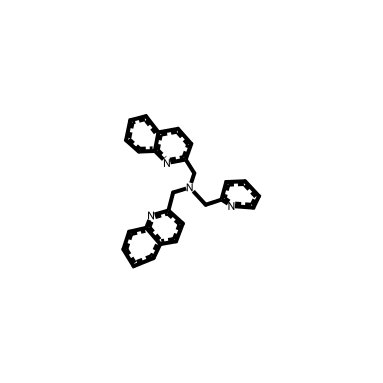 c1ccc(CN(Cc2ccc3ccccc3n2)Cc2ccc3ccccc3n2)nc1